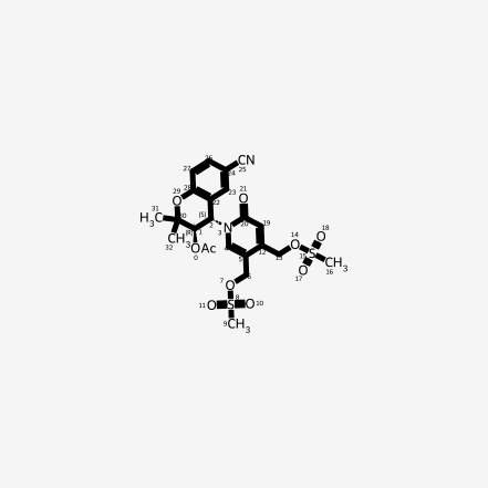 CC(=O)O[C@@H]1[C@@H](n2cc(COS(C)(=O)=O)c(COS(C)(=O)=O)cc2=O)c2cc(C#N)ccc2OC1(C)C